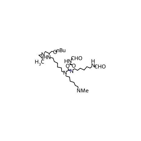 CCCCOCC(CN1CC1C)NCCCCCCN(CCCCCCNC)/C(=N/CCCCCCNC=O)OC(=O)NC=O